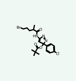 CC(CCCBr)C(=O)NC1=CC(OC(=O)C(C)(C)C)(c2ccc(Cl)cc2)N=N1